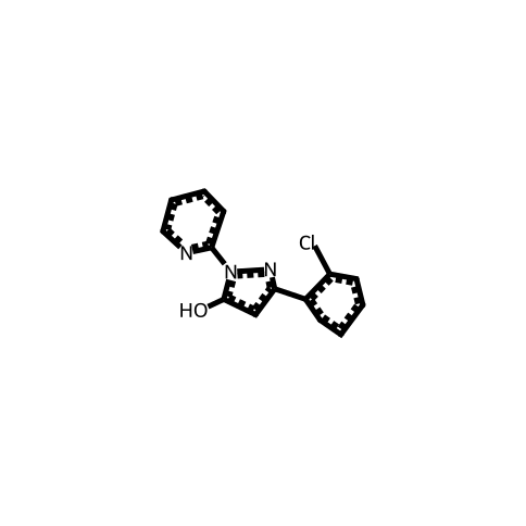 Oc1cc(-c2ccccc2Cl)nn1-c1ccccn1